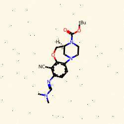 CN(C)/C=N/c1ccc2c(c1C#N)OC[C@@H]1CN2CCN1C(=O)OC(C)(C)C